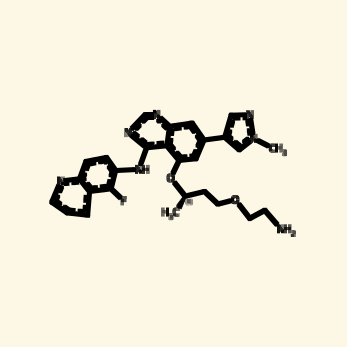 C[C@H](CCOCCN)Oc1cc(-c2cnn(C)c2)cc2ncnc(Nc3ccc4ncccc4c3F)c12